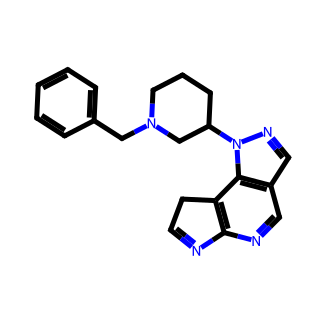 C1=Nc2ncc3cnn(C4CCCN(Cc5ccccc5)C4)c3c2C1